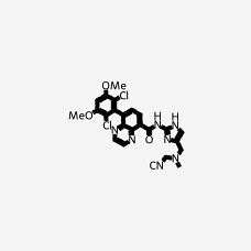 [C-]#[N+]CN(C)Cc1c[nH]c(NC(=O)c2ccc(-c3c(Cl)c(OC)cc(OC)c3Cl)c3nccnc23)n1